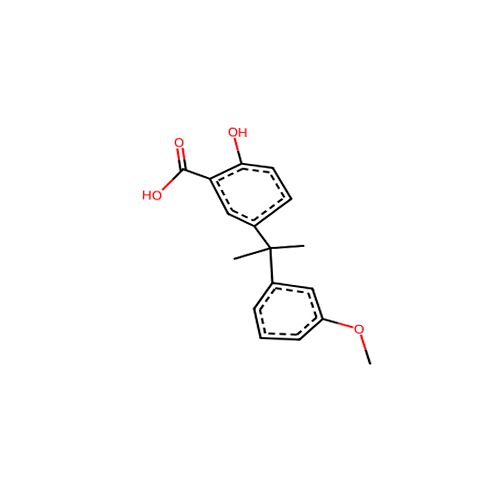 COc1cccc(C(C)(C)c2ccc(O)c(C(=O)O)c2)c1